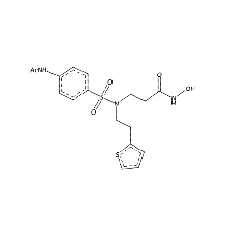 CC(=O)Nc1ccc(S(=O)(=O)N(CCC(=O)NO)CCc2cccs2)cc1